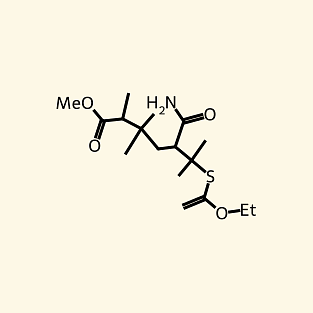 C=C(OCC)SC(C)(C)C(CC(C)(C)C(C)C(=O)OC)C(N)=O